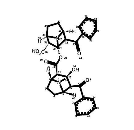 CN1[C@@H]2CC[C@H]1C(C(=O)c1ccccc1)[C@H](O)[C@@H]2C(=O)O[C@H]1C(C(=O)c2ccccc2)[C@@H]2CC[C@H]([C@H]1C(=O)O)N2C